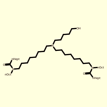 CCCCCCCCN(CCCCCCCCN(CCCCCO)CCCCCCCCN(CCCCCCCC)C(=O)CCCCCCC)C(=O)CCCCCCC